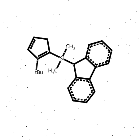 CC(C)(C)C1=C([Si](C)(C)C2c3ccccc3-c3ccccc32)CC=C1